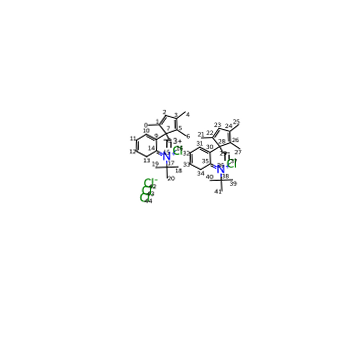 CC1=CC(C)=C(C)[C]1([Ti+3])C1=CC=CCC1=[N+](Cl)C(C)(C)C.CC1=CC(C)=C(C)[C]1([Ti])C1=CC=CCC1=[N+](Cl)C(C)(C)C.[Cl-].[Cl-].[Cl-]